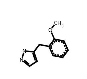 COc1ccccc1CC1=CC=N[N]1